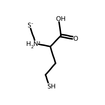 O=C(O)C(CCS)[NH2+][S-]